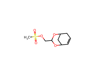 CS(=O)(=O)OCC1OC2C=CCC(C2)O1